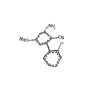 COc1cc(N)c(C#N)c(-c2ccccc2Cl)c1